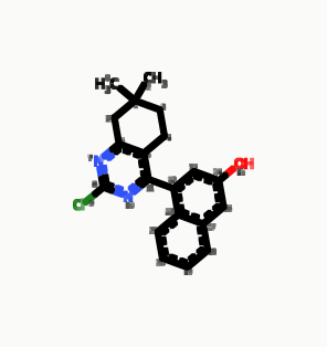 CC1(C)CCc2c(nc(Cl)nc2-c2cc(O)cc3ccccc23)C1